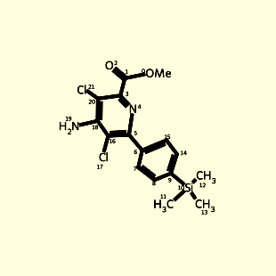 COC(=O)c1nc(-c2ccc([Si](C)(C)C)cc2)c(Cl)c(N)c1Cl